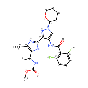 CCC(NC(=O)OC(C)(C)C)c1[nH]c(-c2nn(C3CCCCO3)cc2NC(=O)c2c(F)cccc2F)nc1C(=O)O